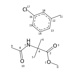 COC(=O)C(C)(C)NC(C)=O.Cc1cccc(Cl)c1